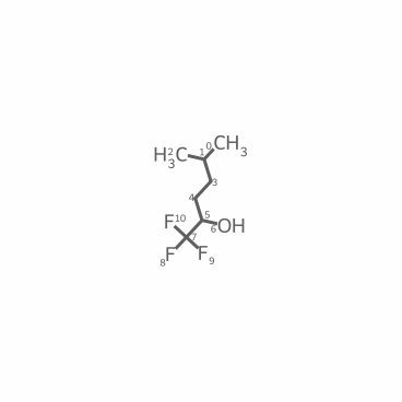 CC(C)CCC(O)C(F)(F)F